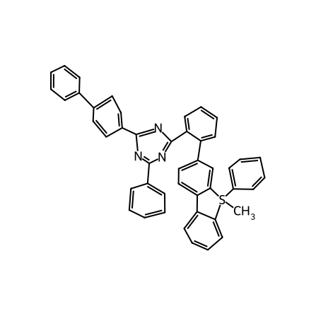 CS1(c2ccccc2)c2ccccc2-c2ccc(-c3ccccc3-c3nc(-c4ccccc4)nc(-c4ccc(-c5ccccc5)cc4)n3)cc21